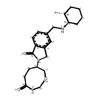 C[C@@H]1CCCC[C@H]1NCc1ccc2c(c1)CN(C1CCC(=O)NCOC1)C2=O